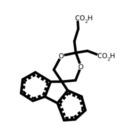 O=C(O)CCC1(CC(=O)O)OCC2(CO1)c1ccccc1-c1ccccc12